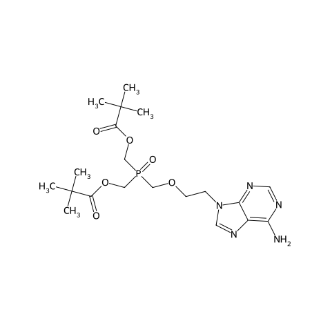 CC(C)(C)C(=O)OCP(=O)(COCCn1cnc2c(N)ncnc21)COC(=O)C(C)(C)C